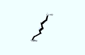 CCCCCC/C=C/CCC=O